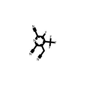 N#CCc1c(C#N)nc(C#N)c(F)c1C(F)(F)F